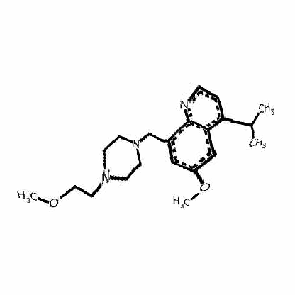 COCCN1CCN(Cc2cc(OC)cc3c(C(C)C)ccnc23)CC1